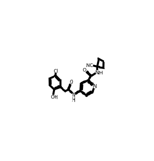 N#CC1(NC(=O)c2cc(NC(=O)Cc3cc(Cl)ccc3O)ccn2)CCC1